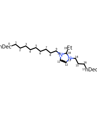 CCCCCCCCCCCCCCCCCCCN1C=CN(CCCCCCCCCCCCC)C1CC